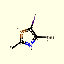 Cc1nc(C(C)(C)C)c(I)s1